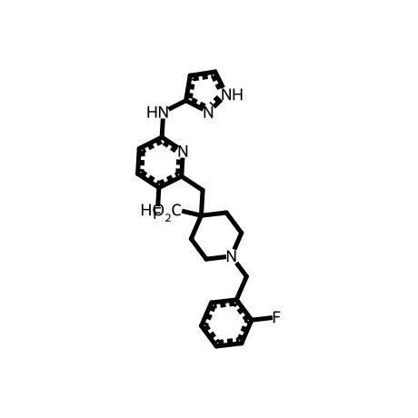 O=C(O)C1(Cc2nc(Nc3cc[nH]n3)ccc2F)CCN(Cc2ccccc2F)CC1